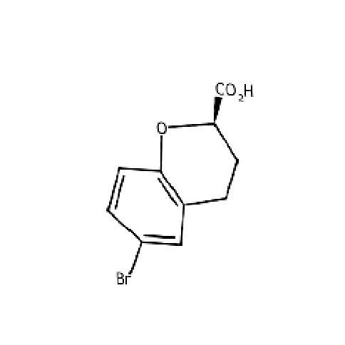 O=C(O)[C@H]1CCc2cc(Br)ccc2O1